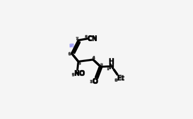 CCNC(=O)CC(/C=C\C#N)N=O